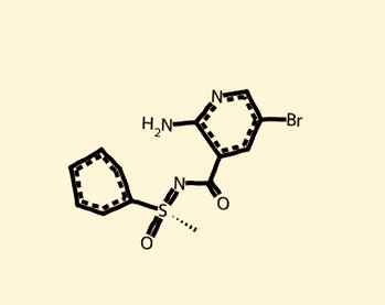 C[S@@](=O)(=NC(=O)c1cc(Br)cnc1N)c1ccccc1